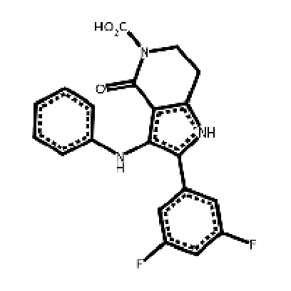 O=C(O)N1CCc2[nH]c(-c3cc(F)cc(F)c3)c(Nc3ccccc3)c2C1=O